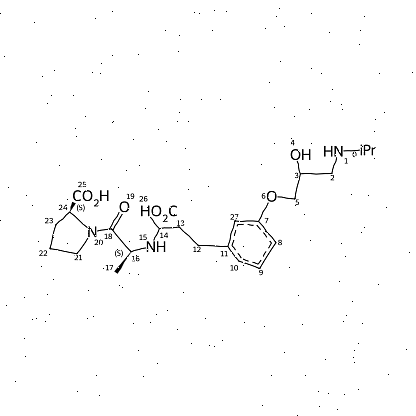 CC(C)NCC(O)COc1cccc(CCC(N[C@@H](C)C(=O)N2CCC[C@H]2C(=O)O)C(=O)O)c1